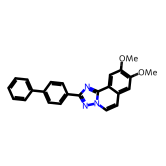 COc1cc2ccn3nc(-c4ccc(-c5ccccc5)cc4)nc3c2cc1OC